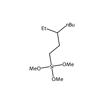 CCCCC(CC)CC[Si](OC)(OC)OC